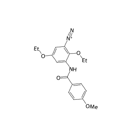 CCOc1cc([N+]#N)c(OCC)c(NC(=O)c2ccc(OC)cc2)c1